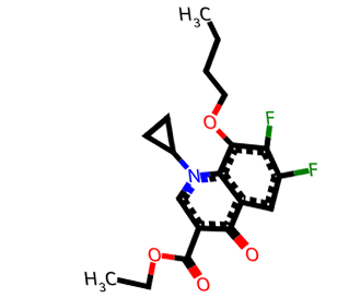 CCCCOc1c(F)c(F)cc2c(=O)c(C(=O)OCC)cn(C3CC3)c12